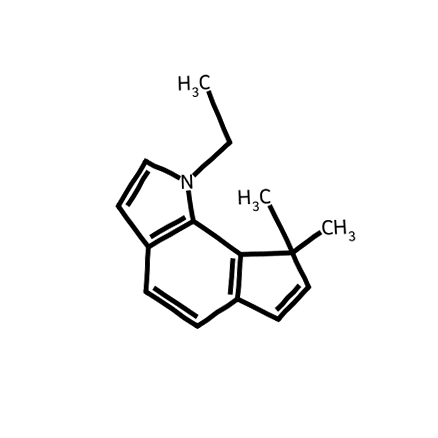 CCn1ccc2ccc3c(c21)C(C)(C)C=C3